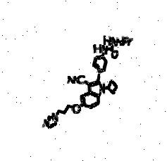 CC(C)NC(=O)Nc1ccc(-c2c(C#N)c3cc(OCCCn4ccnc4)ccc3n2C2CCC2)cc1